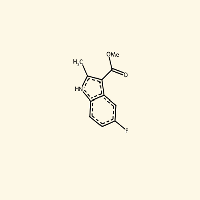 COC(=O)c1c(C)[nH]c2ccc(F)cc12